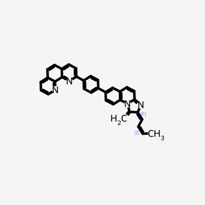 C=c1/c(=C\C=C/C)nc2ccc3cc(-c4ccc(-c5ccc6ccc7cccnc7c6n5)cc4)ccc3n12